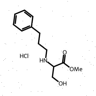 COC(=O)C(CO)NCCCc1ccccc1.Cl